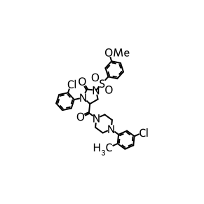 COc1cccc(S(=O)(=O)N2CC(C(=O)N3CCN(c4cc(Cl)ccc4C)CC3)N(c3ccccc3Cl)C2=O)c1